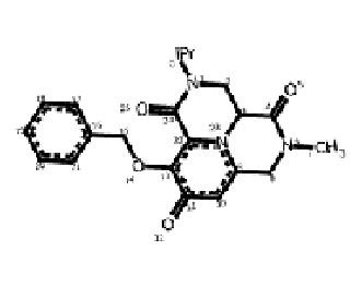 CC(C)N1CC2C(=O)N(C)Cc3cc(=O)c(OCc4ccccc4)c(n32)C1=O